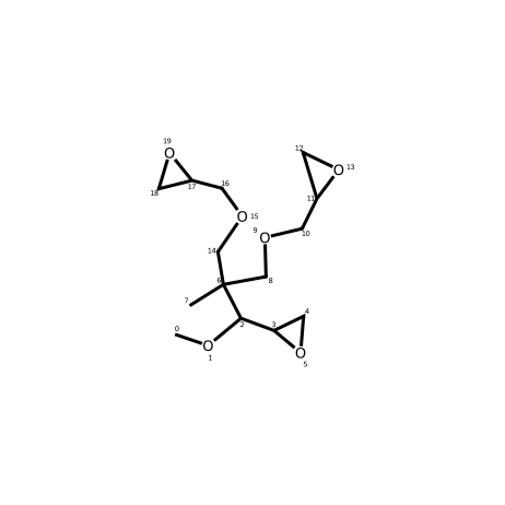 COC(C1CO1)C(C)(COCC1CO1)COCC1CO1